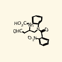 O=CCC(CN(C(=O)c1ccccc1[N+](=O)[O-])c1ccccc1)NC(=O)O